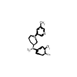 Cc1cncc(N2CCCC(N(C)c3ccc(C#N)c(C(F)(F)F)c3)C2)c1